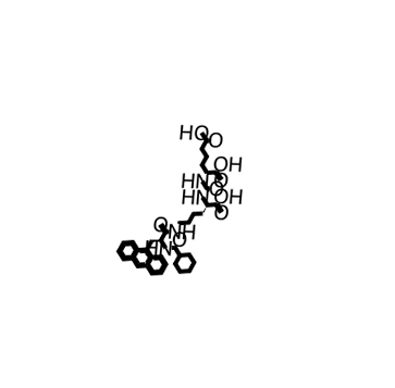 O=C(O)CCCC(NC(=O)N[C@@H](CCCCNC(=O)[C@H](Cc1c2ccccc2cc2ccccc12)NC(=O)C1CCCCC1)C(=O)O)C(=O)O